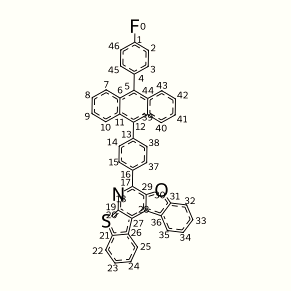 Fc1ccc(-c2c3ccccc3c(-c3ccc(-c4nc5sc6ccccc6c5c5c4oc4ccccc45)cc3)c3ccccc23)cc1